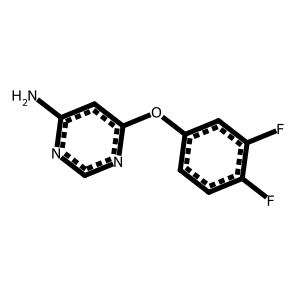 Nc1cc(Oc2ccc(F)c(F)c2)ncn1